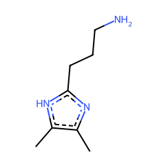 Cc1nc(CCCN)[nH]c1C